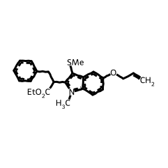 C=CCOc1ccc2c(c1)c(SC)c(C(Cc1ccccc1)C(=O)OCC)n2C